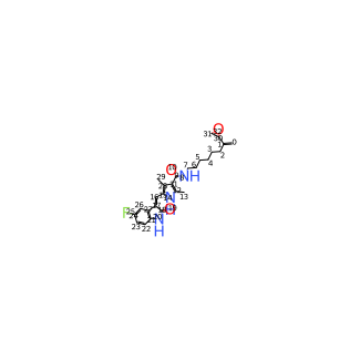 C=C(CCCCCCNC(=O)c1c(C)[nH]c(/C=C2\C(=O)Nc3ccc(F)cc32)c1C)C1CO1